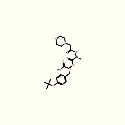 C[C@H](NC(=O)CN1CCOCC1)C(=O)N[C@@H](Cc1ccc(OC(C)(C)C)cc1)C(=O)O